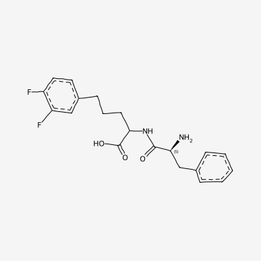 N[C@@H](Cc1ccccc1)C(=O)NC(CCCc1ccc(F)c(F)c1)C(=O)O